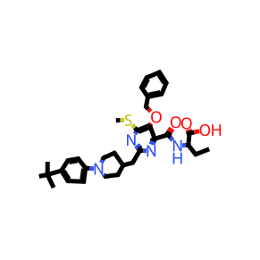 CCC(NC(=O)c1nc(CC2CCN(c3ccc(C(C)(C)C)cc3)CC2)nc(SC)c1OCc1ccccc1)C(=O)O